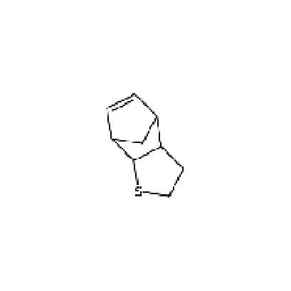 C1=CC2CC1C1CCSC21